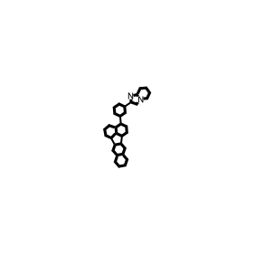 c1cc(-c2cn3ccccc3n2)cc(-c2ccc3c4c(cccc24)-c2cc4ccccc4cc2-3)c1